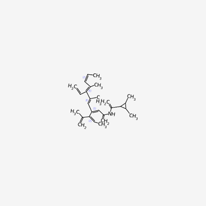 C=CC(/C(C)=C/C(=C/C(=C)NC(=C)C1C(C)C1C)C(=C\C)/C(=C)C)=C(C)\C=C/C